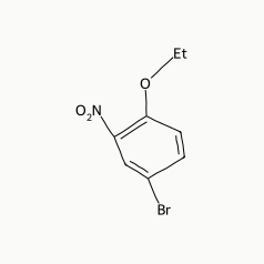 CCOc1ccc(Br)cc1[N+](=O)[O-]